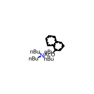 CC(=O)Oc1cccc2ccccc12.CCCC[N+](CCCC)(CCCC)CCCC